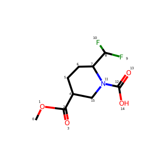 COC(=O)C1CCC(C(F)F)N(C(=O)O)C1